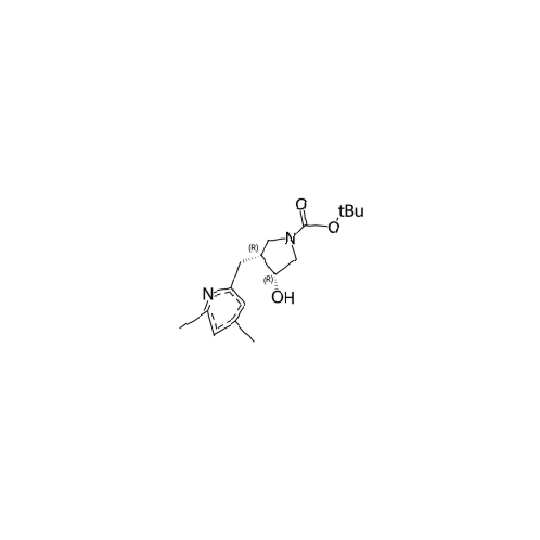 Cc1cc(C)nc(C[C@@H]2CN(C(=O)OC(C)(C)C)C[C@@H]2O)c1